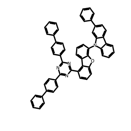 c1ccc(-c2ccc(-c3nc(-c4ccc(-c5ccccc5)cc4)nc(-c4cccc5oc6c(-n7c8ccccc8c8ccc(-c9ccccc9)cc87)cccc6c45)n3)cc2)cc1